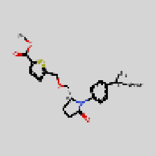 CCCCC[C@H](C)c1ccc(N2C(=O)CC[C@@H]2COCc2ccc(C(=O)OC(C)C)s2)cc1